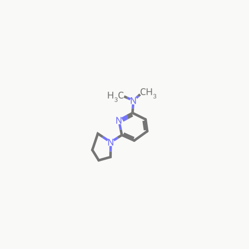 CN(C)c1cccc(N2CCCC2)n1